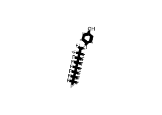 Oc1ccc(OC(F)C(F)(F)C(F)(F)C(F)(F)C(F)(F)C(F)(F)C(F)(F)C(F)(F)F)cc1